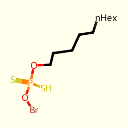 CCCCCCCCCCCOP(=S)(S)OBr